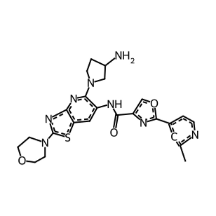 Cc1cc(-c2nc(C(=O)Nc3cc4sc(N5CCOCC5)nc4nc3N3CCC(N)C3)co2)ccn1